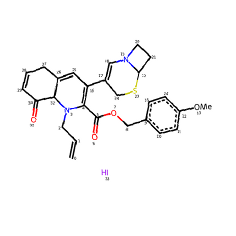 C=CCN1C(C(=O)OCc2ccc(OC)cc2)=C(C2=CN3CCC3SC2)C=C2CC=CC(=O)C21.I